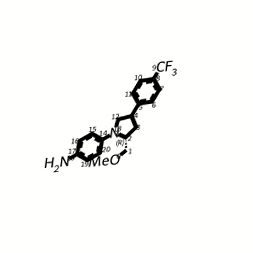 COC[C@H]1CC(c2ccc(C(F)(F)F)cc2)CN1c1ccc(N)cc1